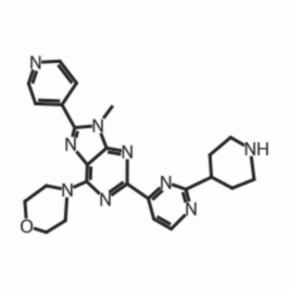 Cn1c(-c2ccncc2)nc2c(N3CCOCC3)nc(-c3ccnc(C4CCNCC4)n3)nc21